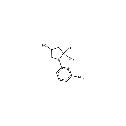 CC1(C)CC(O)CN1c1cccc(N)n1